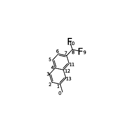 Cc1ccc2ccc(C(F)F)cc2c1